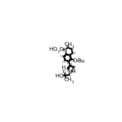 CC(C)COc1c(-c2cnn(CC(C)(C)O)c2)ccc2c1CC[C@H](C)N2C(=O)O